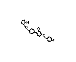 O=c1cc(OCc2ccc(F)cc2)ccn1-c1ccc(COC[C@H]2CCCN2)cc1